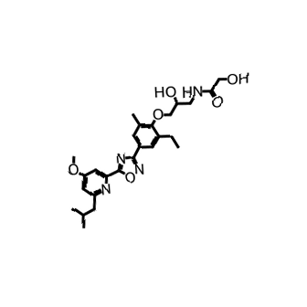 CCc1cc(-c2noc(-c3cc(OC)cc(CC(C)C)n3)n2)cc(C)c1OCC(O)CNC(=O)CO